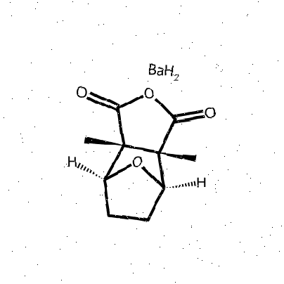 C[C@@]12C(=O)OC(=O)[C@]1(C)[C@H]1CC[C@@H]2O1.[BaH2]